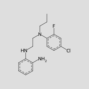 CCCN(CCNc1ccccc1N)c1ccc(Cl)cc1F